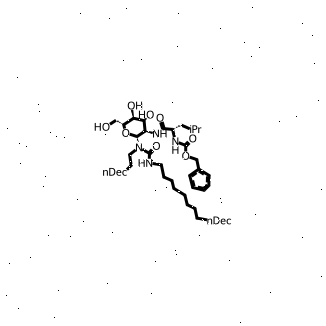 CCCCCCCCCCCCCCCCCCNC(=O)N(CCCCCCCCCCCC)[C@@H]1O[C@H](CO)[C@@H](O)[C@H](O)[C@H]1NC(=O)[C@H](CC(C)C)NC(=O)OCc1ccccc1